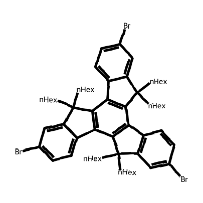 CCCCCCC1(CCCCCC)c2cc(Br)ccc2-c2c1c1c(c3c2C(CCCCCC)(CCCCCC)c2cc(Br)ccc2-3)C(CCCCCC)(CCCCCC)c2cc(Br)ccc2-1